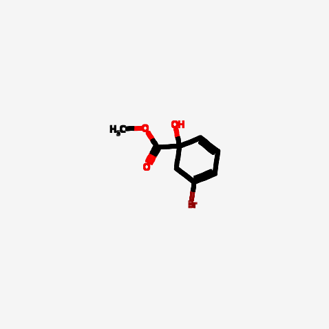 COC(=O)C1(O)C=CC=C(Br)C1